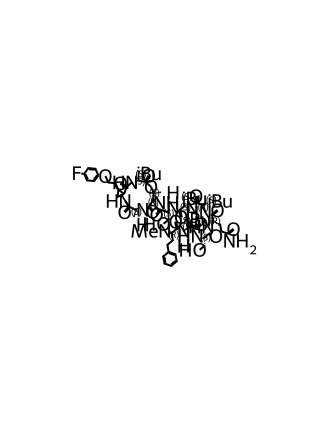 CC[C@H](C)[C@H](NC(=O)[C@@H](CCc1ccccc1)NC)C(=O)N[C@@H](CO)C(=O)N[C@H](CCC(N)=O)C(=O)N[C@@H](C(=O)N[C@H](C(=O)N[C@@H](CO)C(=O)N[C@H]1C(=O)N[C@@H](C)C(=O)NC2(CC2CCOc2ccc(F)cc2)C(=O)N[C@@H]([C@@H](C)CC)C(=O)O[C@H]1C)[C@@H](C)CC)[C@@H](C)CC